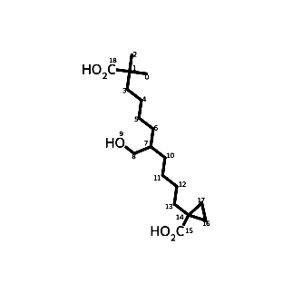 CC(C)(CCCCC(CO)CCCCC1(C(=O)O)CC1)C(=O)O